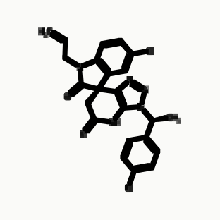 C=CCN1C(=O)[C@]2(CC(=O)Nc3c2nnn3[C@@H](C)c2ccc(Cl)cc2)c2cc(Cl)ccc21